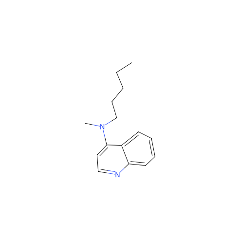 CCCCCN(C)c1ccnc2ccccc12